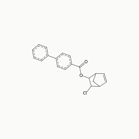 O=C(OC1C2C=CC(C2)C1Cl)c1ccc(-c2ccccc2)cc1